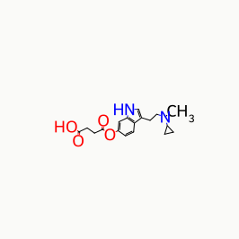 CN(CCc1c[nH]c2cc(OC(=O)CCC(=O)O)ccc12)C1CC1